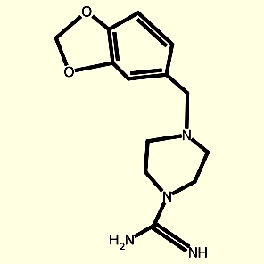 N=C(N)N1CCN(Cc2ccc3c(c2)OCO3)CC1